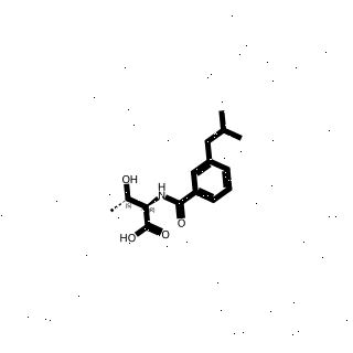 CC(C)Cc1cccc(C(=O)N[C@@H](C(=O)O)[C@H](C)O)c1